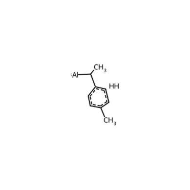 Cc1ccc([CH](C)[Al])cc1.[HH]